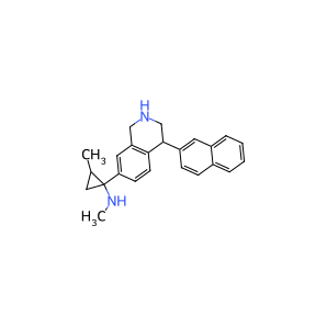 CNC1(c2ccc3c(c2)CNCC3c2ccc3ccccc3c2)CC1C